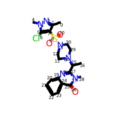 Cc1nn(C)c(Cl)c1S(=O)(=O)N1CCN(C(C)c2nc3ccccc3c(=O)n2C)CC1